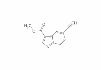 C#Cc1ccc2ncc(C(=O)OC)n2c1